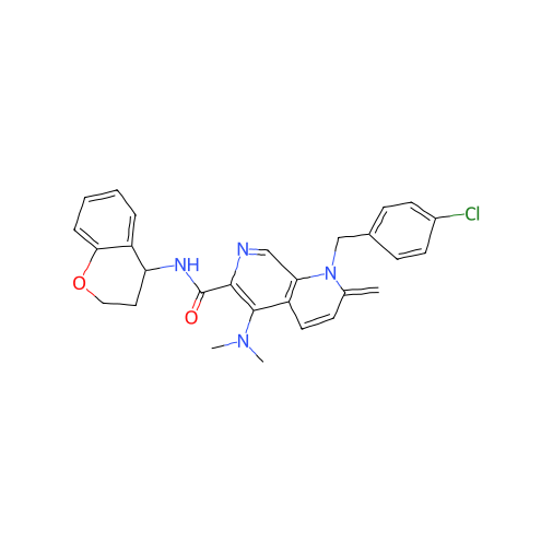 C=C1C=Cc2c(cnc(C(=O)NC3CCOc4ccccc43)c2N(C)C)N1Cc1ccc(Cl)cc1